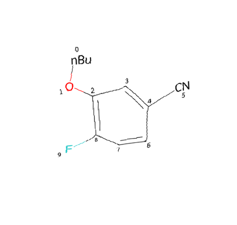 CCCCOc1cc(C#N)ccc1F